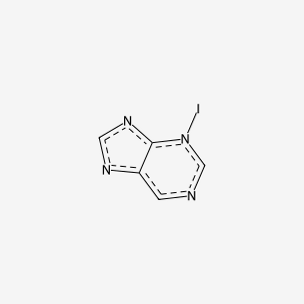 In1cncc2ncnc1-2